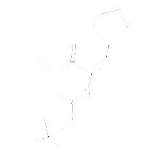 COC(=O)/C(=C\C1CCCC1)NC(=O)OC(C)(C)C